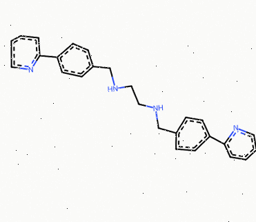 c1ccc(-c2ccc(CNCCNCc3ccc(-c4ccccn4)cc3)cc2)nc1